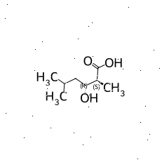 CC(C)C[C@@H](O)[C@H](C)C(=O)O